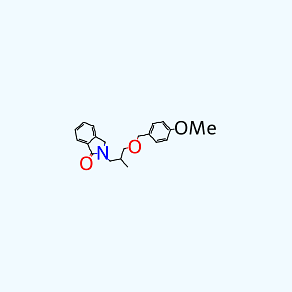 COc1ccc(COCC(C)CN2Cc3ccccc3C2=O)cc1